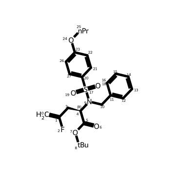 C=C(F)C[C@H](C(=O)OC(C)(C)C)N(Cc1ccccc1)S(=O)(=O)c1ccc(OCCC)cc1